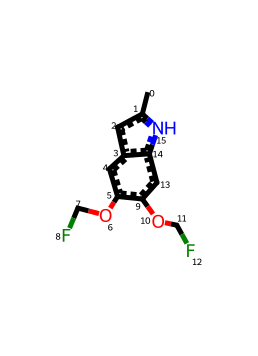 Cc1cc2cc(OCF)c(OCF)cc2[nH]1